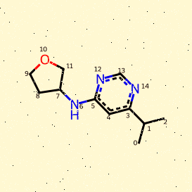 CC(C)c1cc(NC2CCOC2)ncn1